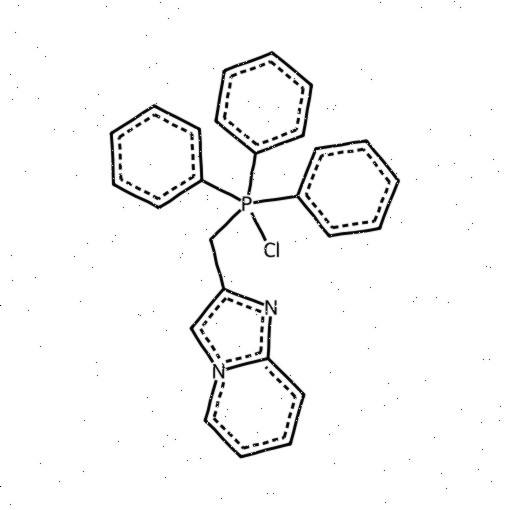 ClP(Cc1cn2ccccc2n1)(c1ccccc1)(c1ccccc1)c1ccccc1